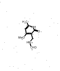 COc1cc(C)[nH]c(=O)c1CNC=O